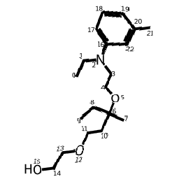 CCN(CCOC(C)(CC)CCOCCO)c1cccc(C)c1